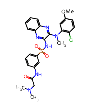 COc1ccc(Cl)c(N(C)c2nc3ccccc3nc2NS(=O)(=O)c2cccc(NC(=O)CN(C)C)c2)c1